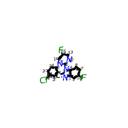 Cc1nc2cc(F)ccc2n1C1N=CC(F)=CN1c1ccc(Cl)cc1